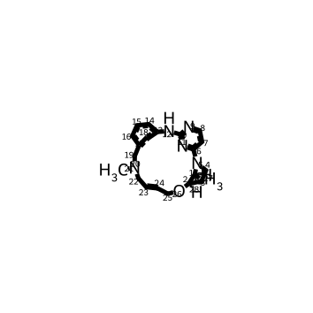 C[C@H]1[C@H]2CCN1c1ccnc(n1)Nc1cccc(c1)CN(C)C/C=C/CO2